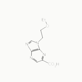 CCOCCn1cnc2ncc(C(=O)O)nc21